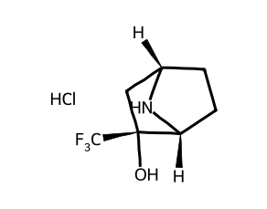 Cl.O[C@]1(C(F)(F)F)C[C@@H]2CC[C@H]1N2